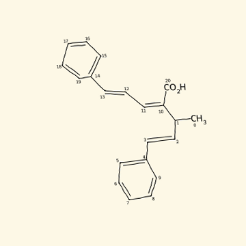 CC(C=Cc1ccccc1)C(=CC=Cc1ccccc1)C(=O)O